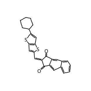 O=C1C(=Cc2cc3sc(C4CCCCC4)cc3s2)C(=O)c2cc3ccccc3cc21